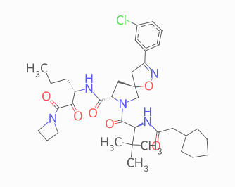 CCC[C@H](NC(=O)[C@@H]1C[C@]2(CC(c3cccc(Cl)c3)=NO2)CN1C(=O)[C@@H](NC(=O)CC1CCCCC1)C(C)(C)C)C(=O)C(=O)N1CCC1